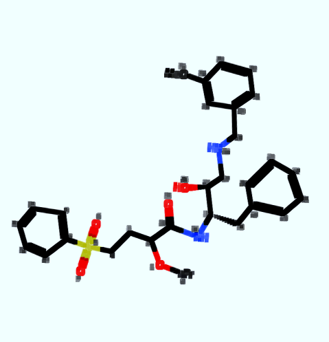 CCCOC(CCS(=O)(=O)c1ccccc1)C(=O)N[C@@H](Cc1ccccc1)[C@@H](O)CNCc1cccc(OC)c1